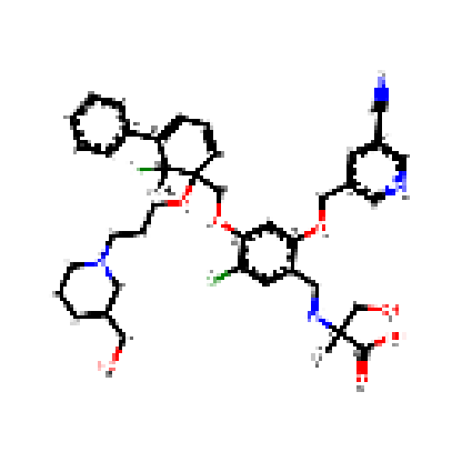 CC(CO)(NCc1cc(Cl)c(OCC2(OCCCN3CCCC(CO)C3)C=CC=C(c3ccccc3)C2(C)Cl)cc1OCc1cncc(C#N)c1)C(=O)O